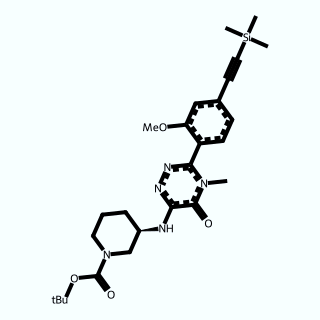 COc1cc(C#C[Si](C)(C)C)ccc1-c1nnc(N[C@@H]2CCCN(C(=O)OC(C)(C)C)C2)c(=O)n1C